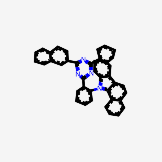 c1ccc(-c2nc(-c3ccc4ccccc4c3)nc(-c3ccccc3-n3c4ccccc4c4ccc5ccccc5c43)n2)cc1